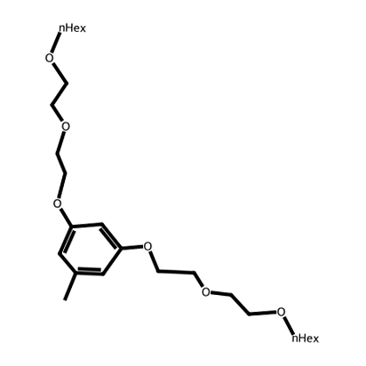 CCCCCCOCCOCCOc1cc(C)cc(OCCOCCOCCCCCC)c1